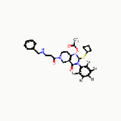 [2H]c1c([2H])c([2H])c(N2C(=O)C3=C(CCN(C(=O)CCNCc4ccccc4)C3)N(OC(=O)C(F)(F)F)C2SC2CCC2)c([2H])c1[2H]